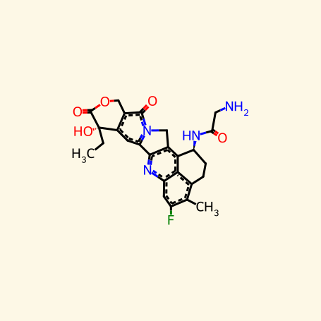 CC[C@@]1(O)C(=O)OCc2c1cc1n(c2=O)Cc2c-1nc1cc(F)c(C)c3c1c2[C@@H](NC(=O)CN)CC3